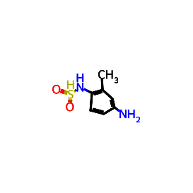 Cc1cc(N)ccc1N[SH](=O)=O